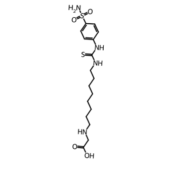 NS(=O)(=O)c1ccc(NC(=S)NCCCCCCCCNCC(=O)O)cc1